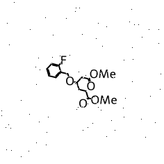 COC(=O)CCC(CC(=O)OC)OCc1ccccc1F